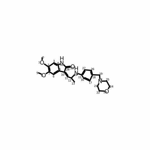 COc1cc2c(cc1OC)C(=CC(C)Nc1ccc(CN3CCOCC3)cc1)C(=O)N2